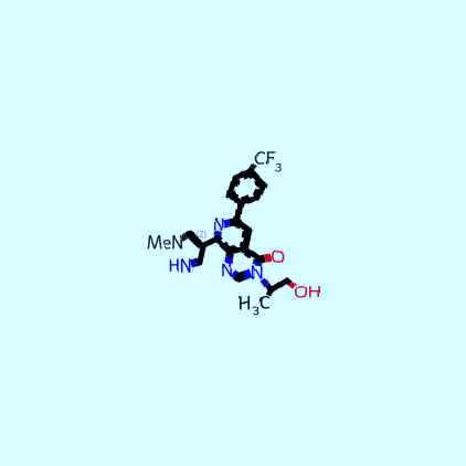 CN/C=C(\C=N)c1nc(-c2ccc(C(F)(F)F)cc2)cc2c(=O)n(C(C)CO)cnc12